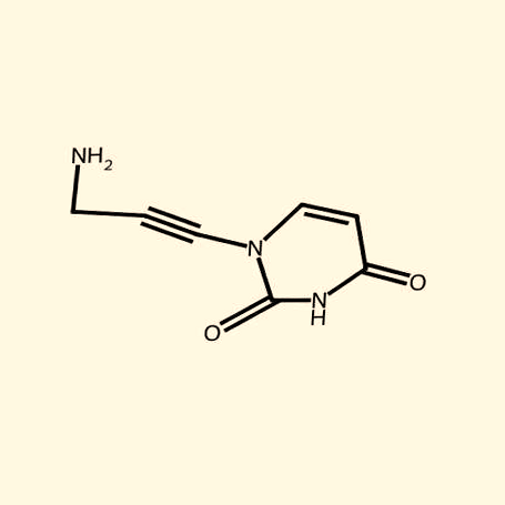 NCC#Cn1ccc(=O)[nH]c1=O